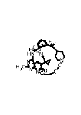 Cc1nc2c3cc(C4(C#N)CC4)c(=O)n(c3n1)CCCCCCN1CCC(CC1)C(F)(F)c1cccc(c1F)[C@@H](C)N2